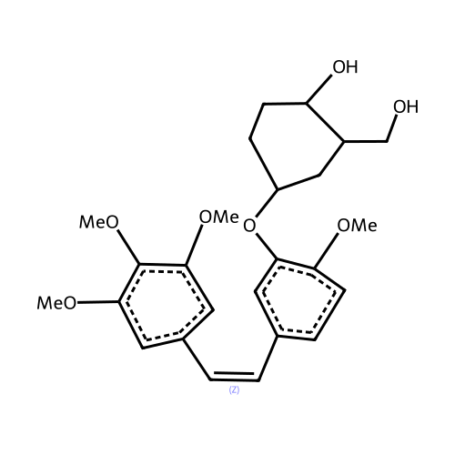 COc1ccc(/C=C\c2cc(OC)c(OC)c(OC)c2)cc1OC1CCC(O)C(CO)C1